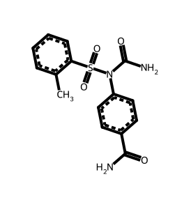 Cc1ccccc1S(=O)(=O)N(C(N)=O)c1ccc(C(N)=O)cc1